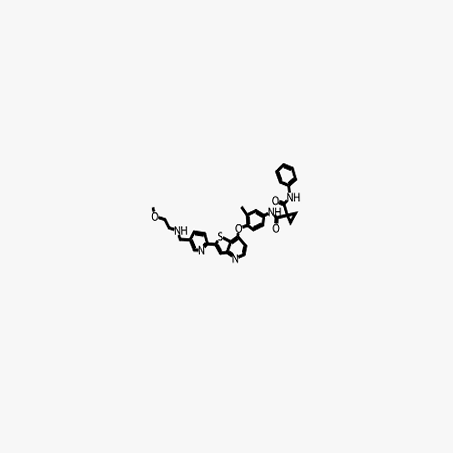 COCCNCc1ccc(-c2cc3nccc(Oc4ccc(NC(=O)C5(C(=O)Nc6ccccc6)CC5)cc4C)c3s2)nc1